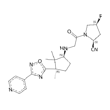 CC1(C)[C@@H](NCC(=O)N2C[C@@H](F)C[C@H]2C#N)CC[C@@]1(C)c1nc(-c2ccncc2)no1